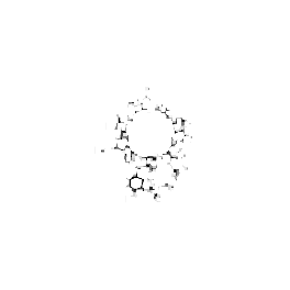 CC(O)C1NC(=O)C(NC=O)CC(O)C(O)NC(=O)C2C(O)C(C)CN2C(=O)C(C(O)CC(N)=O)NC(=O)C(C(O)C(O)c2ccc(O)c(OS(=O)(=O)O)c2)NC(=O)C2CC(O)CN2C1=O